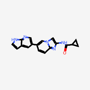 O=C(Nc1cn2cc(-c3cnc4[nH]ccc4c3)ccc2n1)C1CC1